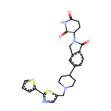 O=C1CCC(N2Cc3cc(C4CCN(Cc5cnc(-c6cccs6)s5)CC4)ccc3C2=O)C(=O)N1